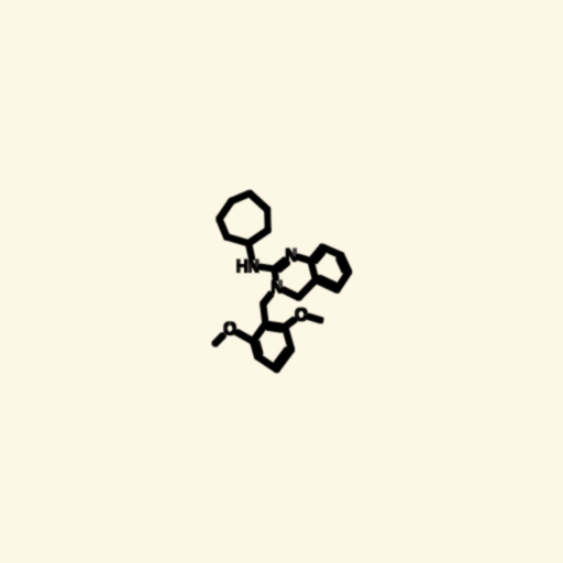 COc1cccc(OC)c1CN1Cc2ccccc2N=C1NC1CCCCCC1